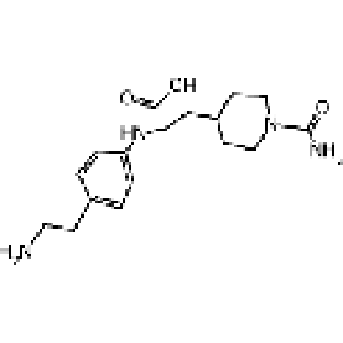 NCCc1ccc(NCCC2CCN(C(N)=O)CC2)cc1.O=CO